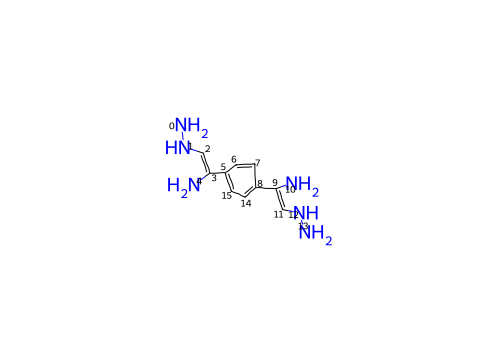 NN/C=C(\N)c1ccc(/C(N)=C/NN)cc1